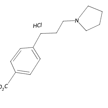 Cl.O=C(O)c1ccc(CCCN2CCCC2)cc1